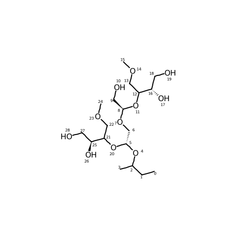 CCC(C)O[C@@H](CO[C@@H](CO)OC(COC)[C@@H](O)CO)OC(COC)[C@@H](O)CO